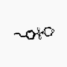 [CH2]CCc1ccc(S(=O)(=O)N2CCOCC2)cc1